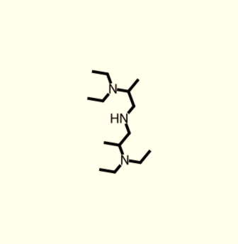 CCN(CC)C(C)CNCC(C)N(CC)CC